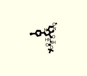 C#Cc1ccc(-c2cc(C(=O)NNC(=O)OC(C)(C)C)c3cnc(OC)cc3n2)cc1